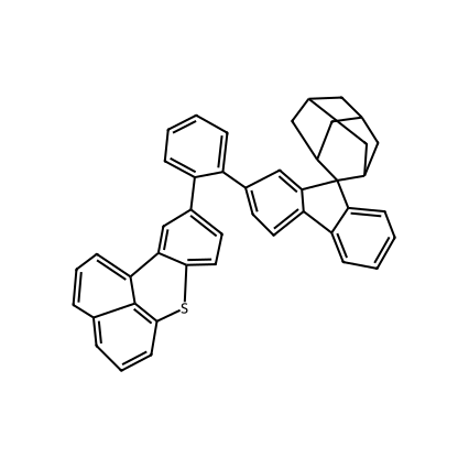 c1ccc(-c2ccc3c(c2)C2(c4ccccc4-3)C3CC4CC(C3)CC2C4)c(-c2ccc3c(c2)-c2cccc4cccc(c24)S3)c1